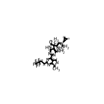 Cn1ncc2c(-c3nc(N)c4c(n3)NC(=O)C4(C)/C(N)=C/N(N)C3CC3)nc(CCC(F)(F)C(F)(F)F)nc21